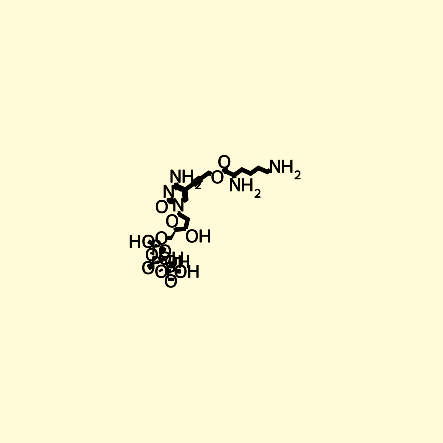 NCCCCC(N)C(=O)OCC#Cc1cn([C@H]2CC(O)[C@@H](COP(=O)(O)OP(=O)(O)OP(=O)(O)O)O2)c(=O)nc1N